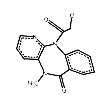 CN1C(=O)c2ccccc2N(C(=O)CCl)c2ncccc21